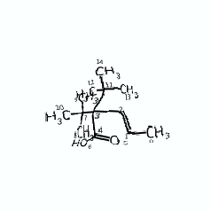 CC=CC(C(=O)O)(C(C)(C)C)C(C)(C)C